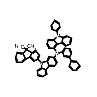 CC1(C)c2ccccc2-c2cc(-n3c4ccccc4c4ccc(N(c5cccc(-c6ccccc6)c5)c5cccc6c5c5ccccc5n6-c5ccccc5)cc43)ccc21